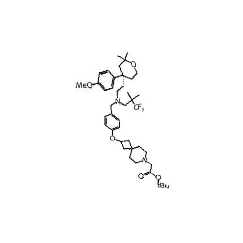 COc1ccc([C@]2(CCN(Cc3ccc(OC4CC5(CCN(CC(=O)OC(C)(C)C)CC5)C4)cc3)CC(C)(C)C(F)(F)F)CCOC(C)(C)C2)cc1